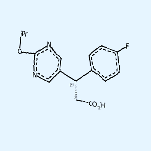 CC(C)Oc1ncc([C@@H](CC(=O)O)c2ccc(F)cc2)cn1